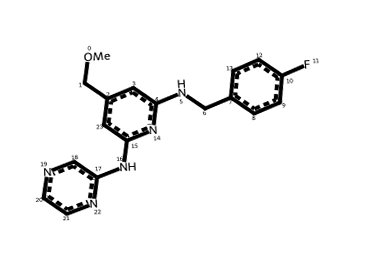 COCc1cc(NCc2ccc(F)cc2)nc(Nc2cnccn2)c1